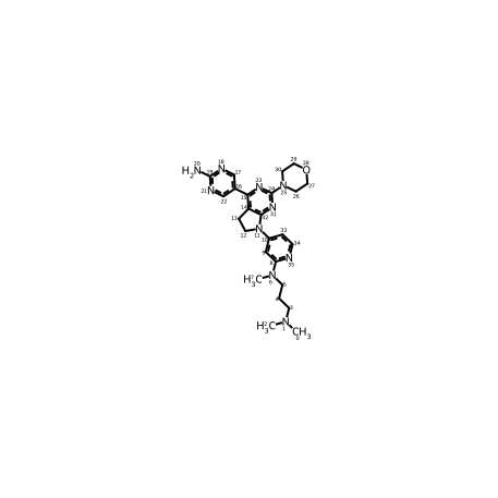 CN(C)CCCN(C)c1cc(N2CCc3c(-c4cnc(N)nc4)nc(N4CCOCC4)nc32)ccn1